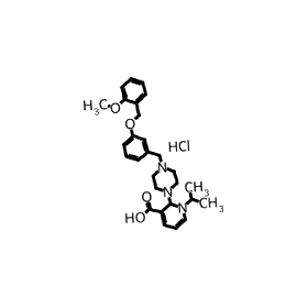 COc1ccccc1COc1cccc(CN2CCN(C3C(C(=O)O)=CC=CN3C(C)C)CC2)c1.Cl